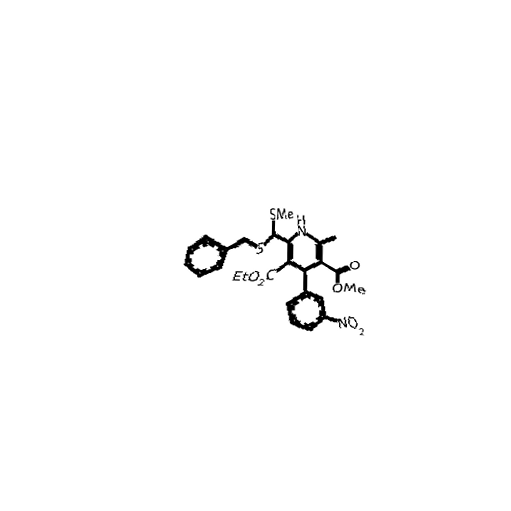 CCOC(=O)C1=C(C(SC)SCc2ccccc2)NC(C)=C(C(=O)OC)C1c1cccc([N+](=O)[O-])c1